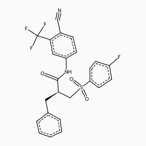 N#Cc1ccc(NC(=O)[C@H](Cc2ccccc2)CS(=O)(=O)c2ccc(F)cc2)cc1C(F)(F)F